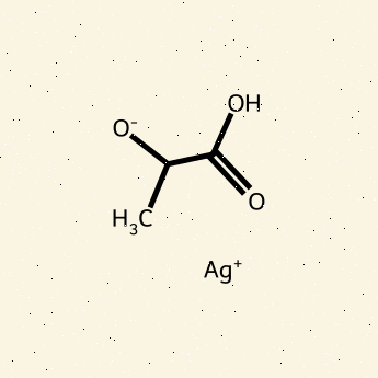 CC([O-])C(=O)O.[Ag+]